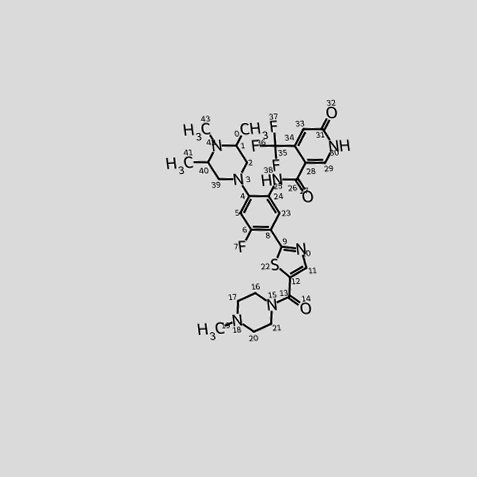 CC1CN(c2cc(F)c(-c3ncc(C(=O)N4CCN(C)CC4)s3)cc2NC(=O)c2c[nH]c(=O)cc2C(F)(F)F)CC(C)N1C